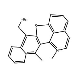 Cc1c2c(c(CC(C)(C)C)c3ccccc13)Sc1cccc3cc[n+](C)c-2c13